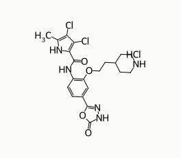 Cc1[nH]c(C(=O)Nc2ccc(-c3n[nH]c(=O)o3)cc2OCCC2CCNCC2)c(Cl)c1Cl.Cl